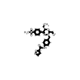 CC[C@H]1OC(C=O)N(Cc2ccc(NC(=O)c3ccno3)cc2)N=C1c1ccc(S(C)(=O)=O)cc1